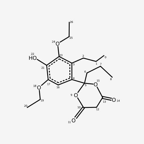 CCCc1c(C2(CCC)OC(=O)CC(=O)O2)cc(OCC)c(O)c1OCC